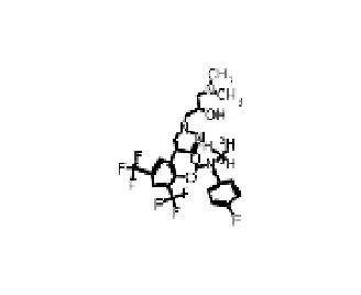 [2H]C([2H])([2H])N(C(=O)Oc1c(-c2cnn(CC(O)CN(C)C)c2)cc(C(F)(F)F)cc1C(F)(F)F)c1ccc(F)cc1